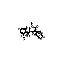 O=C(Nc1sc2c(c1C(=O)O)CC1CCC2O1)c1c(F)cccc1C(F)(F)F